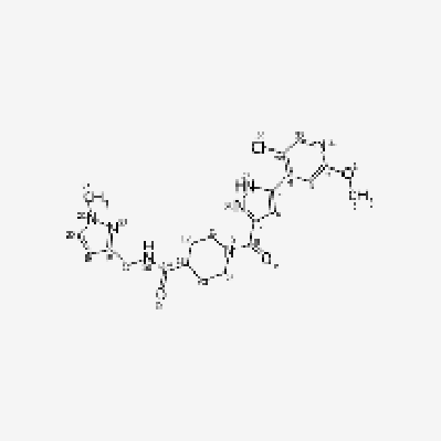 COc1cc(-c2cc(C(=O)N3CCC(C(=O)NCc4ccn(C)n4)CC3)n[nH]2)c(Cl)cn1